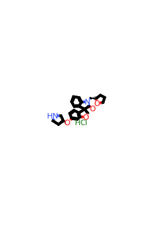 Cl.O=C1N(C[C@H]2CCCO2)c2ccccc2C12COc1cc(O[C@H]3CCNC3)ccc12